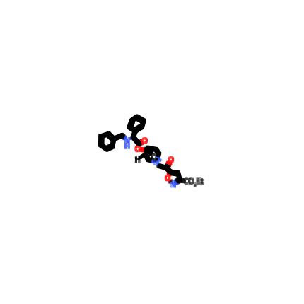 CCOC(=O)c1cc(C(=O)C[N+]23CCC(CC2)[C@@H](OC(=O)[C@H](NCc2ccccc2)c2ccccc2)C3)on1